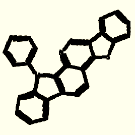 c1ccc(-n2c3ccccc3c3ccc4c(ncc5c6ccccc6sc54)c32)cc1